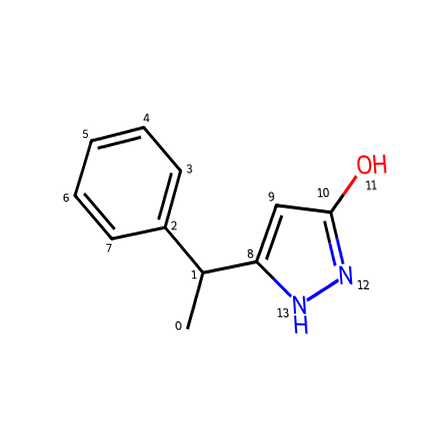 CC(c1ccccc1)c1cc(O)n[nH]1